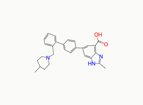 Cc1nc2c(C(=O)O)cc(-c3ccc(-c4ccccc4CN4CCC(C)CC4)cc3)cc2[nH]1